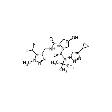 Cn1nnc(CNC(=O)[C@@H]2C[C@@H](O)CN2C(=O)[C@@H](n2cc(C3CC3)nn2)C(C)(C)C)c1C(F)F